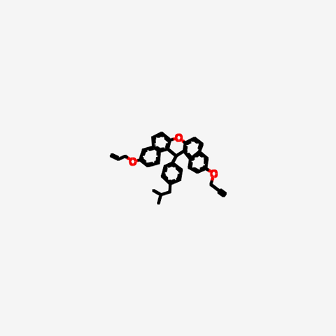 C#CCOc1ccc2c3c(ccc2c1)Oc1ccc2cc(OCC=C)ccc2c1C3c1ccc(CC(C)C)cc1